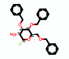 O[C@@H]1[C@@H](OCc2ccccc2)[C@@H](OCc2ccccc2)[C@@H](COCc2ccccc2)O[C@@H]1F